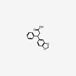 O=C(O)CC(c1ccccc1)c1ccc2c(c1)OCO2